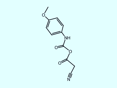 COc1ccc(NC(=O)OC(=O)CC#N)cc1